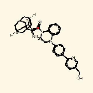 NC(=O)C12CC3C[C@H](C1)C(NC(=O)N1CCN(c4ccc(-c5ccc(CO)cn5)cc4)c4ccccc41)[C@@H](C3)C2